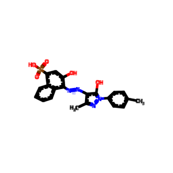 Cc1ccc(-n2nc(C)c(/N=N/c3c(O)cc(S(=O)(=O)O)c4ccccc34)c2O)cc1